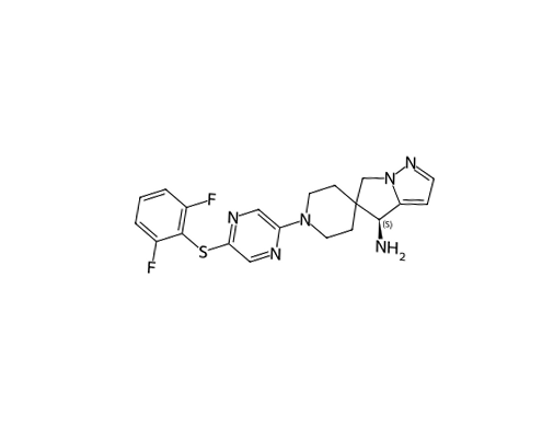 N[C@@H]1c2ccnn2CC12CCN(c1cnc(Sc3c(F)cccc3F)cn1)CC2